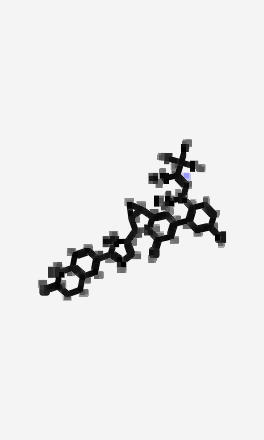 N/C(=C\N(N)c1ccc(Cl)cc1-c1cc2n(c(=O)c1)C(c1cnc(-c3ccc4c(c3)CCC(=O)N4)[nH]1)C1CC21)C(F)(F)F